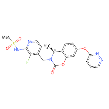 CNS(=O)(=O)Nc1nccc(CN2C(=O)Oc3cc(Oc4cccnn4)ccc3[C@@H]2C)c1F